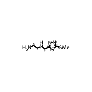 CSc1nnc(CNCCN)s1